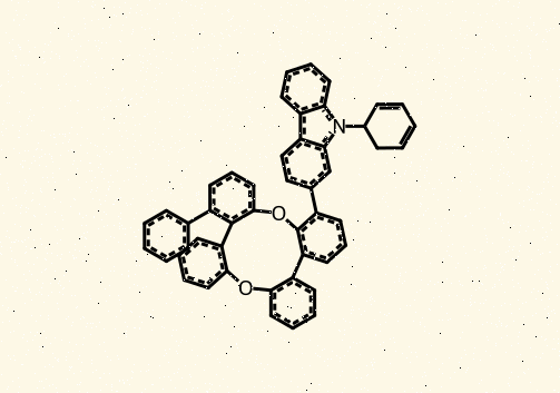 C1=CCC(n2c3ccccc3c3ccc(-c4cccc5c4Oc4cccc(-c6ccccc6)c4-c4ccccc4Oc4ccccc4-5)cc32)C=C1